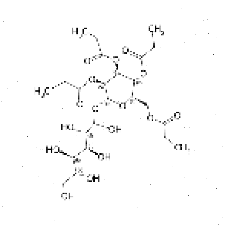 CCC(=O)OC[C@H]1O[C@H](OC(O)[C@@H](O)[C@@H](O)[C@H](O)[C@H](O)CO)[C@@H](OC(=O)CC)[C@@H](OC(=O)CC)[C@@H]1OC(=O)CC